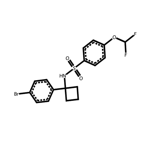 O=S(=O)(NC1(c2ccc(Br)cc2)CCC1)c1ccc(OC(F)F)cc1